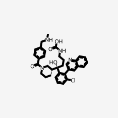 CNCc1ccc(C(=O)N2CCC[C@@H]([C@@](O)(CCCNC(=O)O)c3cccc(Cl)c3-c3cnc4ccccc4c3)C2)cc1